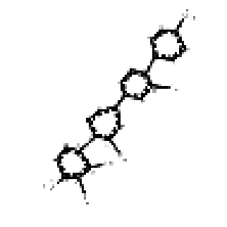 Cc1ccc(-c2ccc(-c3ccc(-c4ccc(C)c(F)c4F)c(F)c3)cc2F)cc1